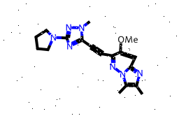 COc1cc2nc(C)c(C)n2nc1C#Cc1nc(N2CCCC2)nn1C